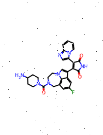 NC1CCN(C(=O)N2CCn3cc(C4=C(c5cnc6ccccn56)C(=O)NC4=O)c4cc(F)cc(c43)C2)CC1